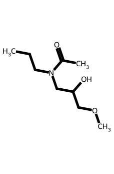 CCCN(CC(O)COC)C(C)=O